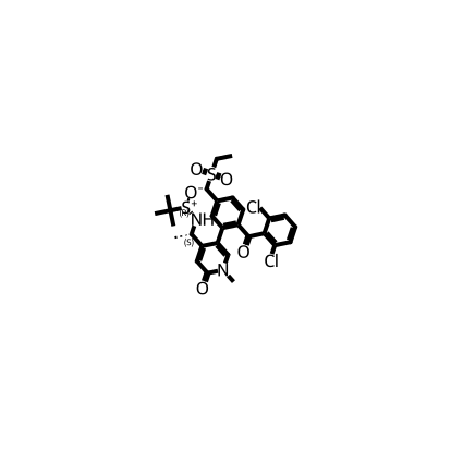 CCS(=O)(=O)Cc1ccc(C(=O)c2c(Cl)cccc2Cl)c(-c2cn(C)c(=O)cc2[C@H](C)N[S@@+]([O-])C(C)(C)C)c1